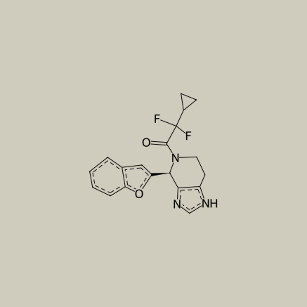 O=C(N1CCc2[nH]cnc2[C@H]1c1cc2ccccc2o1)C(F)(F)C1CC1